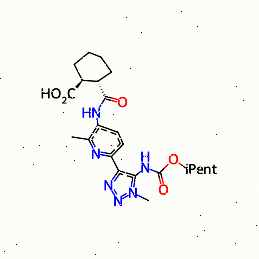 CCCC(C)OC(=O)Nc1c(-c2ccc(NC(=O)[C@H]3CCCC[C@@H]3C(=O)O)c(C)n2)nnn1C